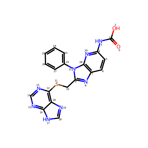 O=C(O)Nc1ccc2nc(CSc3ncnc4[nH]cnc34)n(-c3ccccc3)c2n1